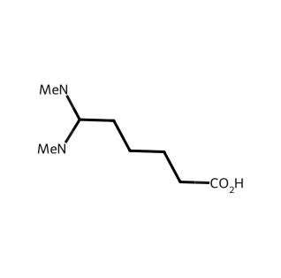 CNC(CCCCC(=O)O)NC